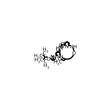 CC(C)C(COc1ccn(-c2ccc3c(n2)N2CC(CCCCOCCNc4cccc(n4)S(=O)(=O)NC3=O)CC2(C)C)n1)C(C)C